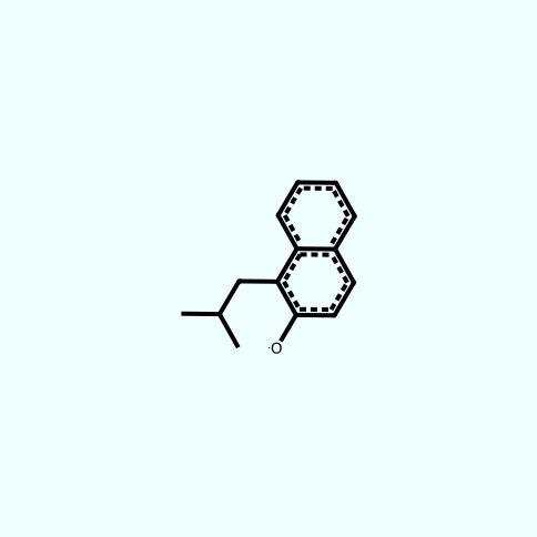 CC(C)Cc1c([O])ccc2ccccc12